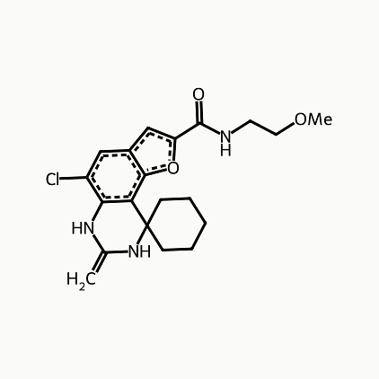 C=C1Nc2c(Cl)cc3cc(C(=O)NCCOC)oc3c2C2(CCCCC2)N1